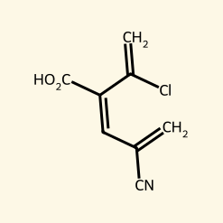 C=C(C#N)C=C(C(=C)Cl)C(=O)O